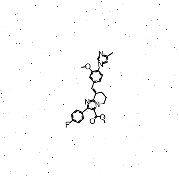 COC(=O)c1c(-c2ccc(F)cc2)nc2n1CCC/C2=C\c1ccc(-n2cnc(C)c2)c(OC)c1